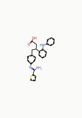 N/C(=N\c1ccc(CC(CC(=O)O)c2ccccc2Nc2ccccc2)cc1)c1cccs1